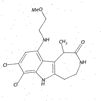 COCCNc1cc(Cl)c(Cl)c2[nH]c3c(c12)C(C)C(=O)NCC3